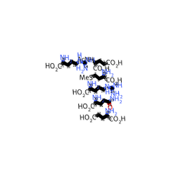 CC(=O)NC(CCC(=O)O)C(=O)O.CSCCC(N)C(=O)O.N=C(N)NCCCC(N)C(=O)O.N=C(N)NCCCC(N)C(=O)O.NC(=O)CCC(N)C(=O)O.NC(CCC(=O)O)C(=O)O